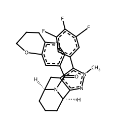 Cn1nc2c(c1-c1cc(F)c(F)c(F)c1)C[C@@H]1CCC[C@H]2N1C(=O)c1cnc2c(c1)OCCC2